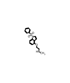 CNCCOc1cccc2c1ccn2S(=O)(=O)c1cc[c]cc1